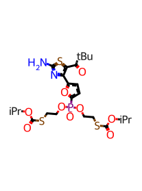 CC(C)OC(=O)SCCOP(=O)(OCCSC(=O)OC(C)C)c1ccc(-c2nc(N)sc2C(=O)C(C)(C)C)o1